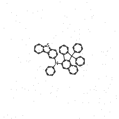 c1ccc(N(c2ccc3sc4ccccc4c3c2)c2cc3ccccc3c3c2-c2ccccc2C3(c2ccccc2)c2ccccc2)cc1